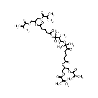 C=C(C)C(=O)OCC(COC(=O)C(=C)C)OC(=O)CCCC(=O)OC(C)(C)C(C)COC(C)(C)C(=O)CCCC(=O)OC(COC(=O)C(=C)C)COC(=O)C(=C)C